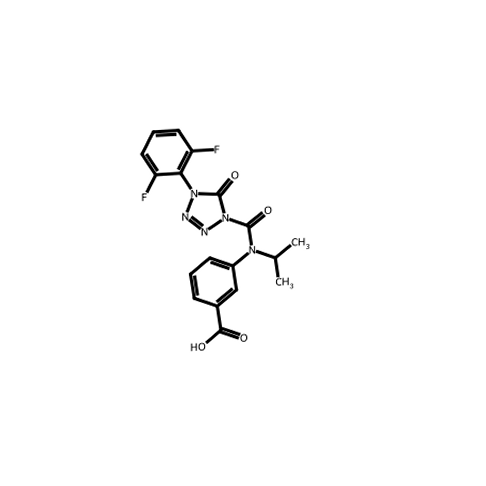 CC(C)N(C(=O)n1nnn(-c2c(F)cccc2F)c1=O)c1cccc(C(=O)O)c1